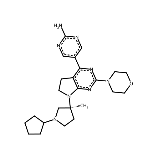 C[C@]1(N2CCc3c(-c4cnc(N)nc4)nc(N4CCOCC4)nc32)CCN(C2CCCC2)C1